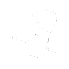 Cc1ccc(O)cn1.c1ccncc1